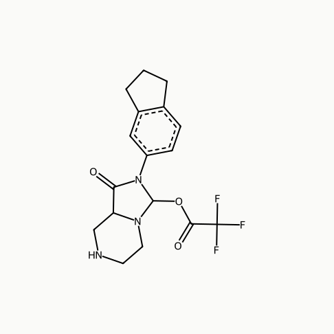 O=C1C2CNCCN2C(OC(=O)C(F)(F)F)N1c1ccc2c(c1)CCC2